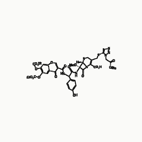 CCOC(=O)Oc1cc2occ(C(=O)NC(C(=O)N[C@]3(OC)C(=O)N4C(C(=O)O)=C(CSc5nnnn5CC(=O)OC)CS[C@H]43)c3ccc(O)cc3)c(=O)c2cc1OC(=O)OCC